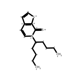 CCCCC(CCCC)n1ccc2ccsc2c1=S